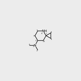 CN(C)C1CCNC2(CC2)C1